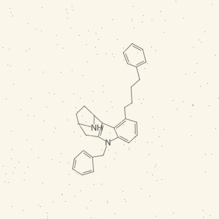 c1ccc(CCCCc2cccc3c2c2c(n3Cc3ccccc3)CC3CCC2N3)cc1